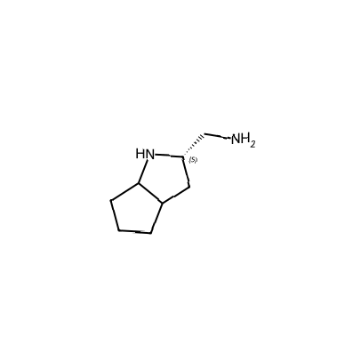 NC[C@@H]1CC2CCCC2N1